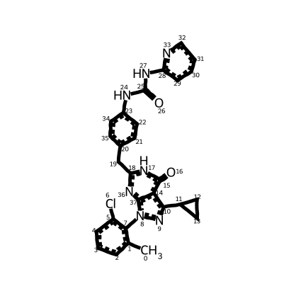 Cc1cccc(Cl)c1-n1nc(C2CC2)c2c(=O)[nH]c(Cc3ccc(NC(=O)Nc4ccccn4)cc3)nc21